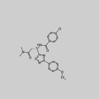 CN(C)C(=O)C[C@H](NC(=O)c1ccc(Cl)cc1)c1nc(-c2ccc(OC(F)(F)F)cc2)no1